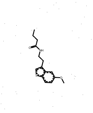 CCCC(=O)NCCc1csc2ccc(OC)cc12